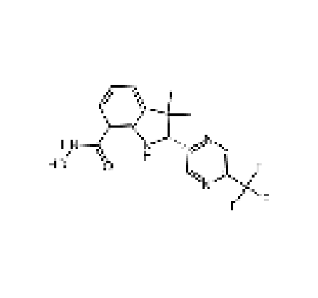 CC1(C)c2cccc(C(=O)NO)c2N[C@H]1c1cnc(C(F)(F)F)cn1